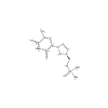 Cc1cn(C2C=C[C@@H](COP(=O)(O)O)O2)c(=O)[nH]c1=O